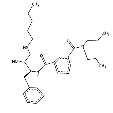 CCCCCNC[C@@H](O)[C@H](Cc1ccccc1)NC(=O)c1cccc(C(=O)N(CCC)CCC)c1